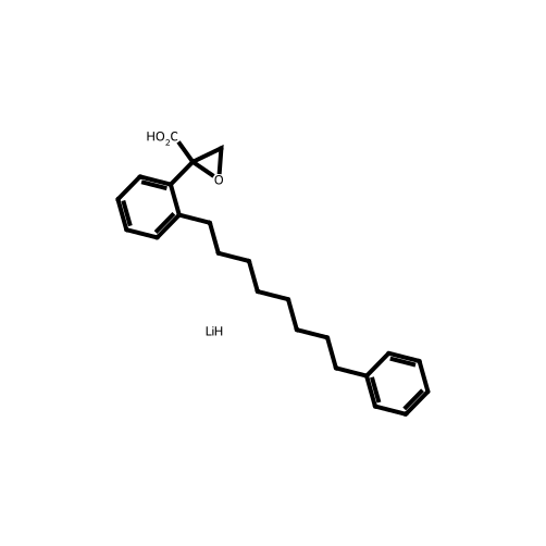 O=C(O)C1(c2ccccc2CCCCCCCCc2ccccc2)CO1.[LiH]